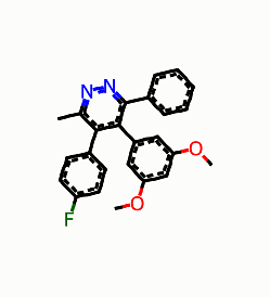 COc1cc(OC)cc(-c2c(-c3ccccc3)nnc(C)c2-c2ccc(F)cc2)c1